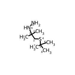 CC(C)(CSC(C)(C)C)NN